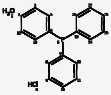 Cl.O.c1ccc(P(c2ccccc2)c2ccccc2)cc1